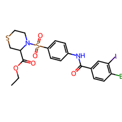 CCOC(=O)C1CSCCN1S(=O)(=O)c1ccc(NC(=O)c2ccc(Br)c(I)c2)cc1